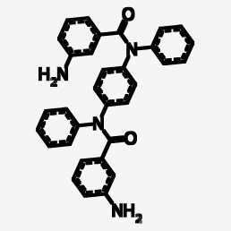 Nc1cccc(C(=O)N(c2ccccc2)c2ccc(N(C(=O)c3cccc(N)c3)c3ccccc3)cc2)c1